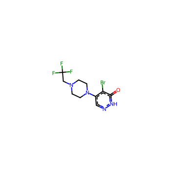 O=c1[nH]ncc(N2CCN(CC(F)(F)F)CC2)c1Br